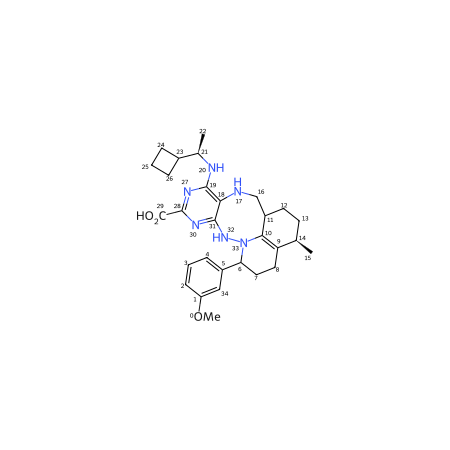 COc1cccc(C2CCC3=C4C(CC[C@H]3C)CNc3c(N[C@H](C)C5CCC5)nc(C(=O)O)nc3NN42)c1